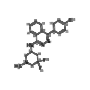 CN1CC(Nc2nnc(-c3ccc(Cl)cc3)c3ccccc23)CC(F)(F)C1